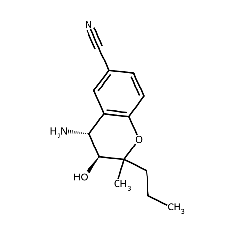 CCCC1(C)Oc2ccc(C#N)cc2[C@@H](N)[C@@H]1O